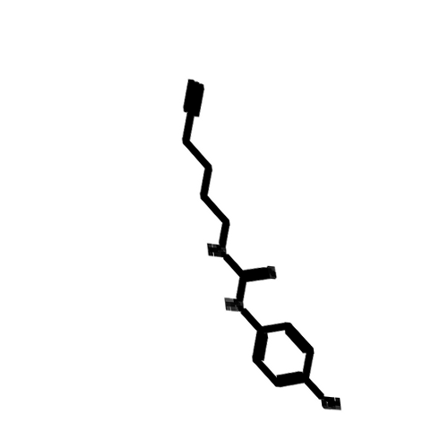 C#CCCCCNC(=S)Nc1ccc(O)cc1